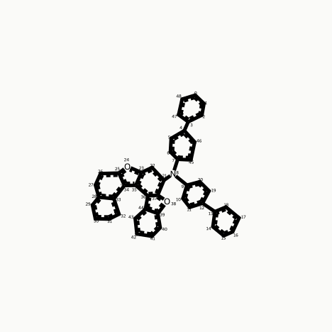 c1ccc(-c2ccc(N(c3ccc(-c4ccccc4)cc3)c3cc4oc5ccc6ccccc6c5c4c4c3oc3ccccc34)cc2)cc1